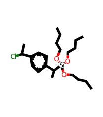 CCCCO[Si](OCCCC)(OCCCC)C(C)c1ccc(C(C)Cl)cc1